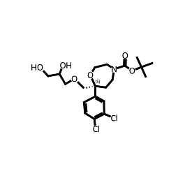 CC(C)(C)OC(=O)N1CCO[C@](COCC(O)CO)(c2ccc(Cl)c(Cl)c2)CC1